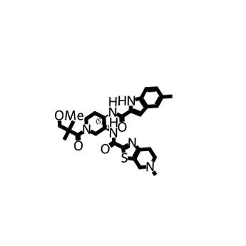 COCC(C)(C)C(=O)N1CC[C@H](NC(=O)c2cc3cc(C)ccc3[nH]2)[C@H](NC(=O)c2nc3c(s2)CN(C)CC3)C1